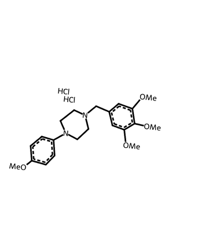 COc1ccc(N2CCN(Cc3cc(OC)c(OC)c(OC)c3)CC2)cc1.Cl.Cl